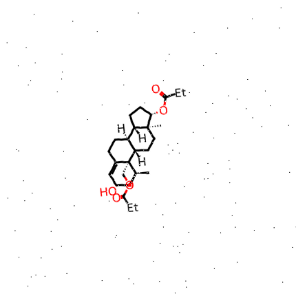 CCC(=O)OC[C@@]12C(=C[C@@H](O)C[C@@H]1C)CC[C@H]1[C@@H]3CC[C@H](OC(=O)CC)[C@@]3(C)CC[C@@H]12